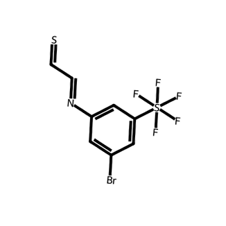 FS(F)(F)(F)(F)c1cc(Br)cc(N=CC=S)c1